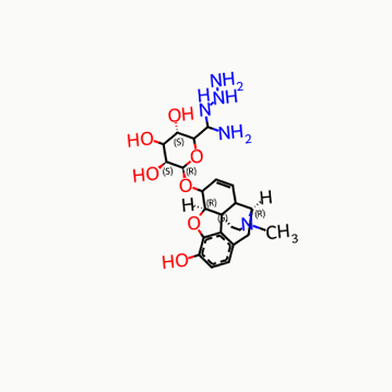 CN1CC[C@]23c4c5ccc(O)c4O[C@H]2C(O[C@@H]2OC(C(N)NNN)[C@@H](O)C(O)[C@@H]2O)C=CC3[C@H]1C5